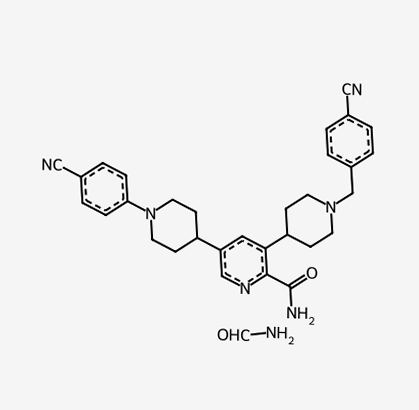 N#Cc1ccc(CN2CCC(c3cc(C4CCN(c5ccc(C#N)cc5)CC4)cnc3C(N)=O)CC2)cc1.NC=O